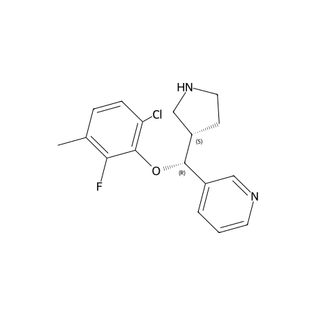 Cc1ccc(Cl)c(O[C@@H](c2cccnc2)[C@H]2CCNC2)c1F